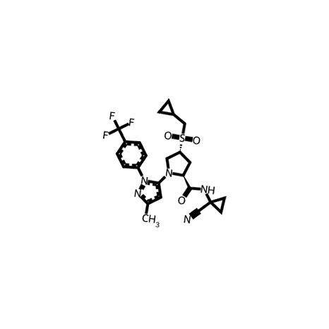 Cc1cc(N2C[C@H](S(=O)(=O)CC3CC3)C[C@H]2C(=O)NC2(C#N)CC2)n(-c2ccc(C(F)(F)F)cc2)n1